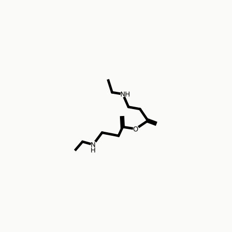 C=C(CCNCC)OC(=C)CCNCC